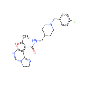 Cc1oc2c(c1C(=O)NCC1CCN(Cc3ccc(F)cc3)CC1)C1=NCCN1C=N2